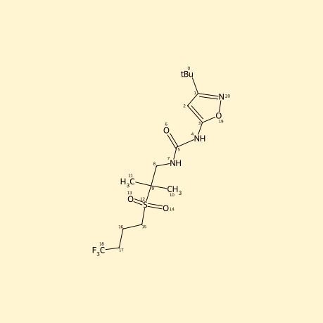 CC(C)(C)c1cc(NC(=O)NCC(C)(C)S(=O)(=O)CCCC(F)(F)F)on1